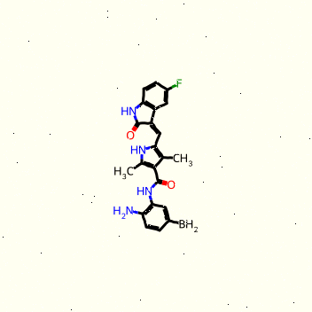 Bc1ccc(N)c(NC(=O)c2c(C)[nH]c(/C=C3\C(=O)Nc4ccc(F)cc43)c2C)c1